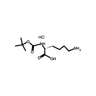 CC(C)(C)OC(=O)N[C@H](CCCCN)C(=O)O.Cl